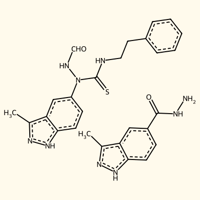 Cc1n[nH]c2ccc(C(=O)NN)cc12.Cc1n[nH]c2ccc(N(NC=O)C(=S)NCCc3ccccc3)cc12